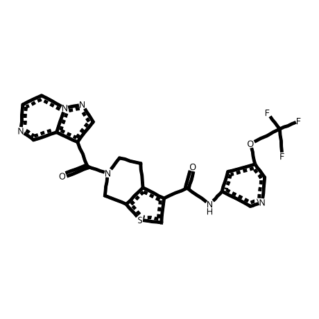 O=C(Nc1cncc(OC(F)(F)F)c1)c1csc2c1CCN(C(=O)c1cnn3ccncc13)C2